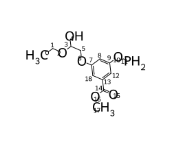 CCOC(O)COc1cc(OP)cc(C(=O)OC)c1